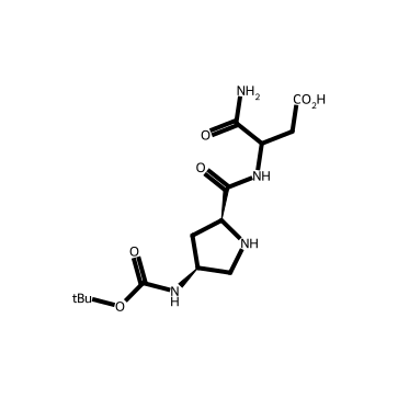 CC(C)(C)OC(=O)N[C@@H]1CN[C@H](C(=O)NC(CC(=O)O)C(N)=O)C1